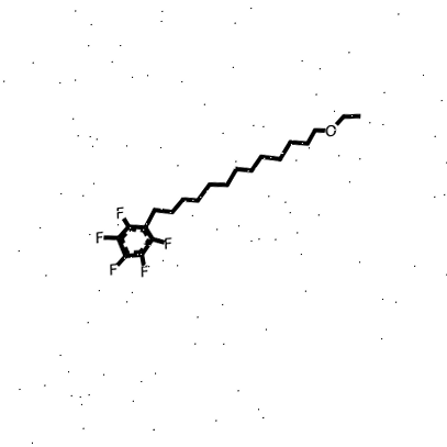 CCOCCCCCCCCCCCCCc1c(F)c(F)c(F)c(F)c1F